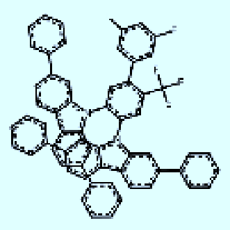 Fc1cc(F)cc(-c2cc(-n3c4cc(-c5ccccc5)ccc4c4ccc(-c5ccccc5)cc43)c(-n3c4cc(-c5ccccc5)ccc4c4ccc(-c5ccccc5)cc43)cc2C(F)(F)F)c1